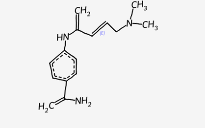 C=C(/C=C/CN(C)C)Nc1ccc(C(=C)N)cc1